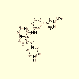 CC(C)n1cc(-c2cccc(Nc3ncnn4ccc(CN5CCNCC5)c34)c2)nn1